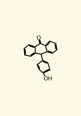 O=C1c2ccccc2C(c2ccc(O)cc2)c2ccccc21